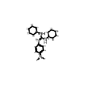 CN(C)c1ccc(N=C(NC2CCCCC2)NC2CCCCC2)cc1